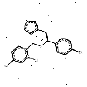 CCc1ccc(C(Cn2ccnc2)SCc2ccc(Cl)cc2Cl)cc1